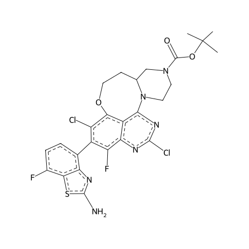 CC(C)(C)OC(=O)N1CCN2c3nc(Cl)nc4c(F)c(-c5ccc(F)c6sc(N)nc56)c(Cl)c(c34)OCCC2C1